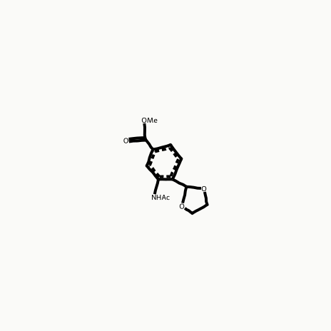 COC(=O)c1ccc(C2OCCO2)c(NC(C)=O)c1